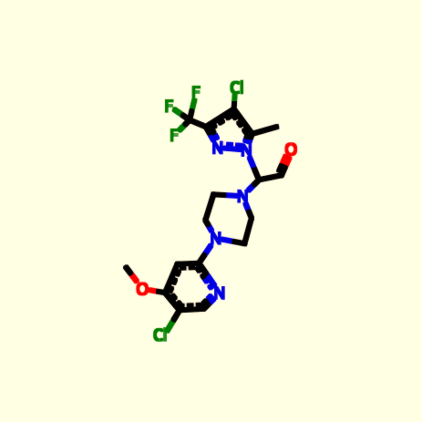 COc1cc(N2CCN(C(C=O)n3nc(C(F)(F)F)c(Cl)c3C)CC2)ncc1Cl